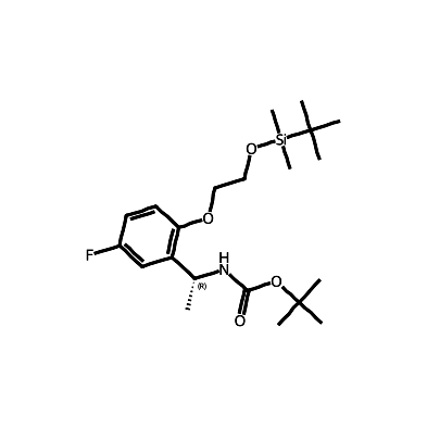 C[C@@H](NC(=O)OC(C)(C)C)c1cc(F)ccc1OCCO[Si](C)(C)C(C)(C)C